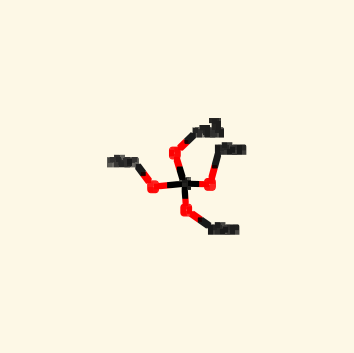 CCCCCCCCC[O][Ti]([O]CCCCCCCCC)([O]CCCCCCCCC)[O]CCCCCCCCC.[Ti]